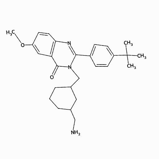 COc1ccc2nc(-c3ccc(C(C)(C)C)cc3)n(CC3CCCC(CN)C3)c(=O)c2c1